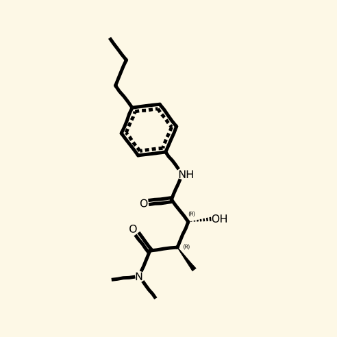 CCCc1ccc(NC(=O)[C@H](O)[C@@H](C)C(=O)N(C)C)cc1